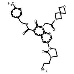 Cc1ccc(CNC(=O)c2cc3nc(N4CCN(CCN)C4=O)cnc3n(CC(=O)N3CC4(COC4)C3)c2=O)cc1